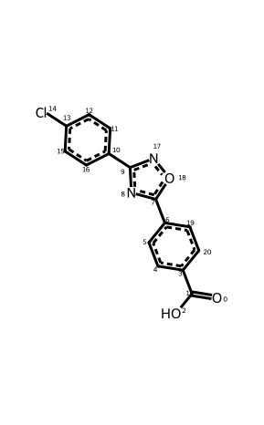 O=C(O)c1ccc(-c2nc(-c3ccc(Cl)cc3)no2)cc1